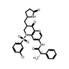 C[C@H](C(=O)Nc1cnc2c(c1)N(S(=O)(=O)c1cccc(Cl)c1)CC(CC1CCC(=O)N1)C2=O)c1ccccc1